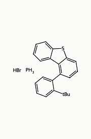 Br.CC(C)(C)c1ccccc1-c1cccc2sc3ccccc3c12.P